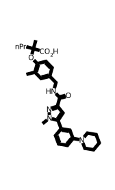 CCCC(C)(Oc1ccc(CNC(=O)c2cc(-c3cccc(N4CCCCC4)c3)n(C)n2)cc1C)C(=O)O